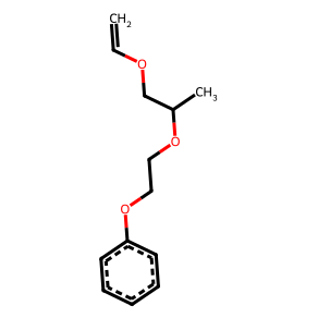 C=COCC(C)OCCOc1ccccc1